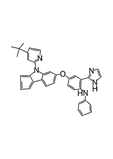 CC(C)(C)c1ccnc(-n2c3ccccc3c3ccc(Oc4ccc(Nc5ccccc5)c(-c5ncc[nH]5)c4)cc32)c1